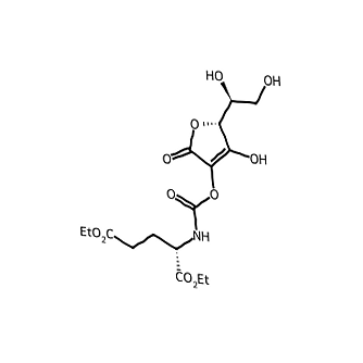 CCOC(=O)CC[C@H](NC(=O)OC1=C(O)[C@@H]([C@@H](O)CO)OC1=O)C(=O)OCC